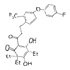 CCC1=C(O)C(CC)(CC)C(=O)C(C(=O)CCc2ccc(Oc3ccc(F)cc3)cc2C(F)(F)F)=C1O